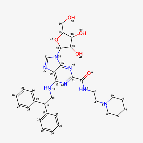 O=C(NCCN1CCCCC1)c1nc(NCC(c2ccccc2)c2ccccc2)c2ncn(C3OC(CO)C(O)C3O)c2n1